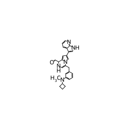 CN(c1cccc(CC2=CNC(C=O)c3cc(-c4c[nH]c5ncccc45)cn32)c1)C1CCC1